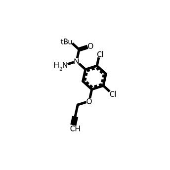 C#CCOc1cc(N(N)C(=O)C(C)(C)C)c(Cl)cc1Cl